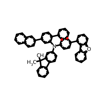 CC1(C)c2ccccc2-c2ccc(N(c3ccc(-c4cccc5oc6ccccc6c45)cc3)c3cc(-c4ccc5ccccc5c4)ccc3-c3ccccc3)cc21